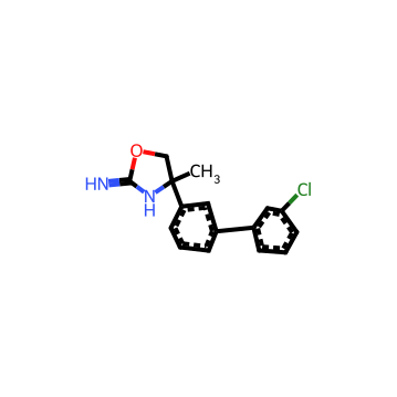 CC1(c2cccc(-c3cccc(Cl)c3)c2)COC(=N)N1